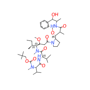 CC[C@H](C)[C@@H](C(CC(=O)N1CCCC1[C@H](OC)C(C)C(=O)NC(C)C(O)c1ccccc1)OC)N(C)C(=O)[C@@H](NC(=O)C(C(C)C)N(C)C(=O)OCC(C)(C)C)C(C)C